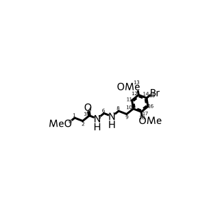 COCCC(=O)NCNCCc1cc(OC)c(Br)cc1OC